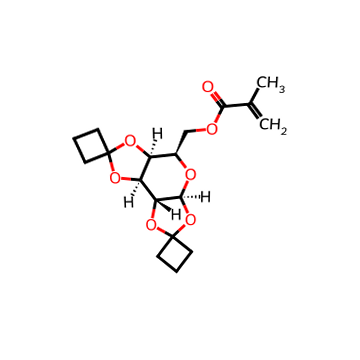 C=C(C)C(=O)OC[C@H]1O[C@H]2OC3(CCC3)O[C@@H]2[C@H]2OC3(CCC3)O[C@H]21